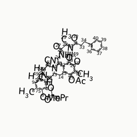 CCCC(=O)Oc1c(OC)c(C)cc2c1[C@@H]1C3Cc4c(OC(C)=O)c(C)c5c(c4[C@H](CNC(=O)C(C)NC(=O)CCc4ccccc4)N3[C@@H](C#N)[C@H](C2)N1C)OCO5